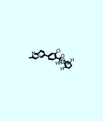 Cc1cn2cc(-c3ccc(C(=O)N[C@@H]4C[C@@H]5CC[C@H]4N5C#N)c(Cl)c3)ccc2n1